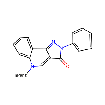 CCCCCn1cc2c(=O)n(-c3ccccc3)nc-2c2ccccc21